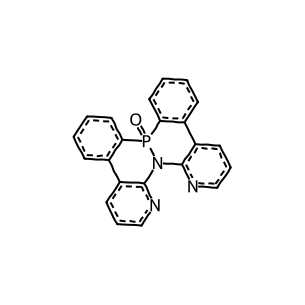 O=P12c3ccccc3-c3cccnc3N1c1ncccc1-c1ccccc12